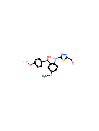 COc1ccc(C(O)c2cc(OC)ccc2Nc2nnc(CO)s2)cc1